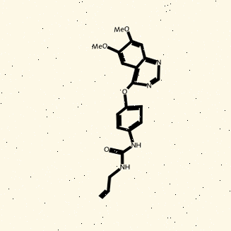 C=CCNC(=O)Nc1ccc(Oc2ncnc3cc(OC)c(OC)cc23)cc1